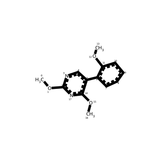 COc1ncc(-c2cc[c]cc2OC)c(OC)n1